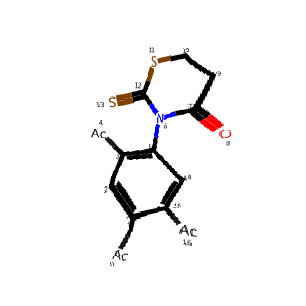 CC(=O)c1cc(C(C)=O)c(N2C(=O)CCSC2=S)cc1C(C)=O